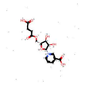 O=C(O)CCC(=O)OC[C@H]1O[C@@H]([n+]2cccc(C(=O)O)c2)[C@H](O)[C@@H]1O